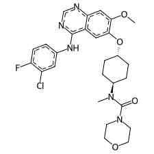 COc1cc2ncnc(Nc3ccc(F)c(Cl)c3)c2cc1O[C@H]1CC[C@H](N(C)C(=O)N2CCOCC2)CC1